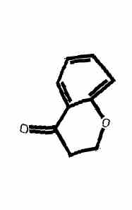 O=C1C[CH]Oc2cc[c]cc21